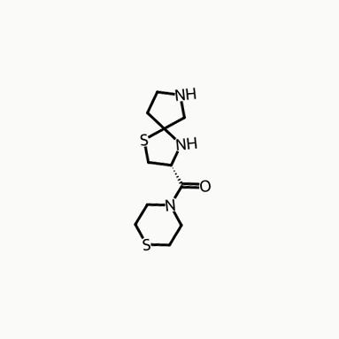 O=C([C@@H]1CSC2(CCNC2)N1)N1CCSCC1